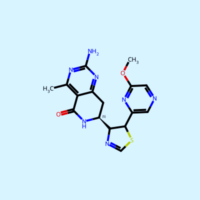 COc1cncc(C2SC=NC2[C@@H]2Cc3nc(N)nc(C)c3C(=O)N2)n1